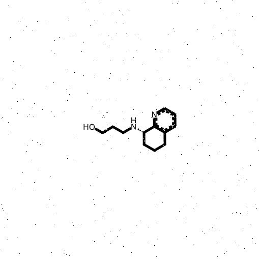 OCCCN[C@H]1CCCc2cccnc21